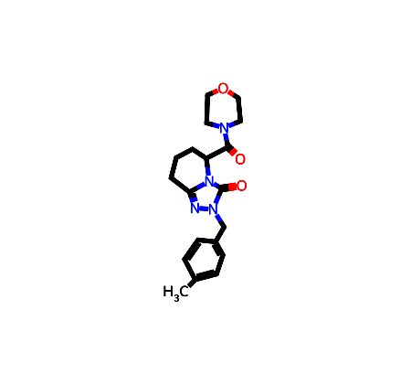 Cc1ccc(Cn2nc3n(c2=O)C(C(=O)N2CCOCC2)CCC3)cc1